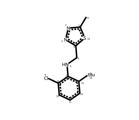 Cc1nnc(CNc2c(Cl)cccc2C(C)(C)C)s1